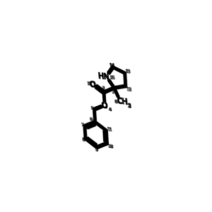 CC1(C(=O)OCc2ccccc2)CCCN1